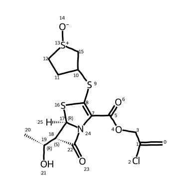 C=C(Cl)COC(=O)C1=C(SC2CC[S+]([O-])C2)S[C@@H]2[C@@H]([C@@H](C)O)C(=O)N12